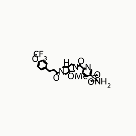 CO[C@]12CN(C(=O)CCc3ccc(OC(F)(F)F)cc3)C[C@@H]1CN(C(=O)c1ccc(S(N)(=O)=O)cn1)C2